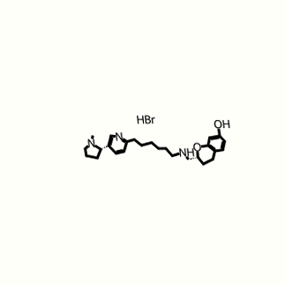 Br.CN1CCC[C@H]1c1ccc(CCCCCCNC[C@H]2CCc3ccc(O)cc3O2)nc1